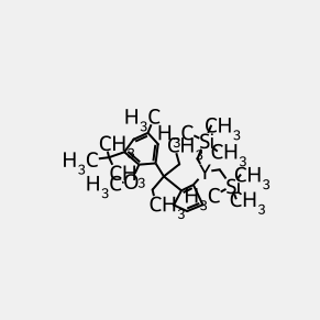 CCC(CC)(C1=[C]([Y]([CH2][Si](C)(C)C)[CH2][Si](C)(C)C)C=CC1)c1cc(C)cc(C(C)(C)C)c1OC